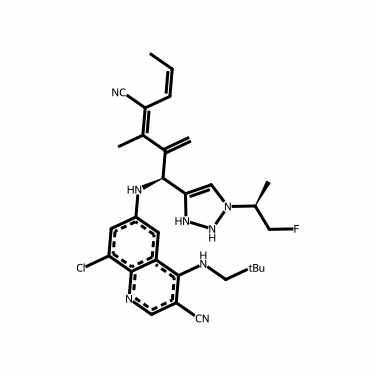 C=C(/C(C)=C(C#N)\C=C/C)[C@H](Nc1cc(Cl)c2ncc(C#N)c(NCC(C)(C)C)c2c1)C1=CN([C@@H](C)CF)NN1